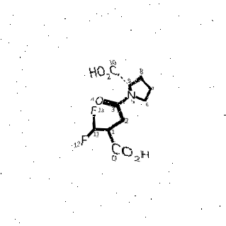 O=C(O)C(CC(=O)N1CCC[C@H]1C(=O)O)C(F)F